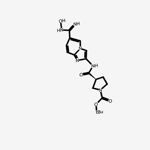 CC(C)(C)OC(=O)N1CC[C@H](C(=O)Nc2cn3cc(C(=N)NO)ccc3n2)C1